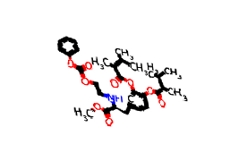 COC(=O)[C@H](Cc1ccc(OC(=O)C(C)C(C)C)c(OC(=O)C(C)C(C)C)c1)NCCOC(=O)Oc1ccccc1